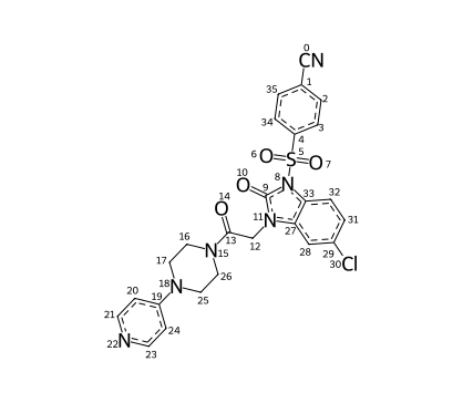 N#Cc1ccc(S(=O)(=O)n2c(=O)n(CC(=O)N3CCN(c4ccncc4)CC3)c3cc(Cl)ccc32)cc1